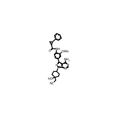 COc1cc(-c2nn(C3CCC(O)(CC#N)CC3)c3ncnc(N)c23)ccc1NC(=O)C1CC1c1ccccc1